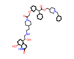 O=C(OCC1CCN(Cc2ccccc2)CC1)C(c1ccccc1)c1cccc(OCC(=O)N2CCC(CCNC[C@H](O)c3ccc(O)c4[nH]c(=O)ccc34)CC2)c1